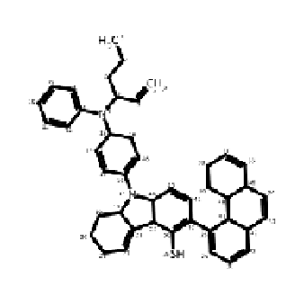 C=CC(CCC)N(c1ccccc1)C1C=CC(N2C3CCCC=C3C3C(S)=C(C4=CC=CC5C=CC6C=CCCC6C45)C=CC32)=CC1